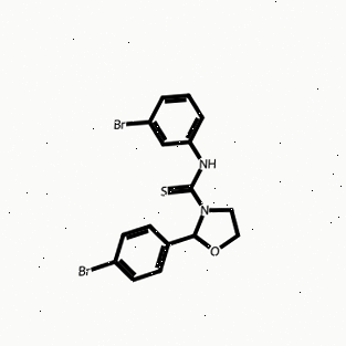 S=C(Nc1cccc(Br)c1)N1CCOC1c1ccc(Br)cc1